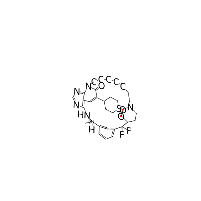 C[C@H]1Nc2ncnc3c2cc(C2CCS(=O)(=O)CC2)c(=O)n3CCCCCCN2CCC(CC2)C(F)(F)c2cccc1c2